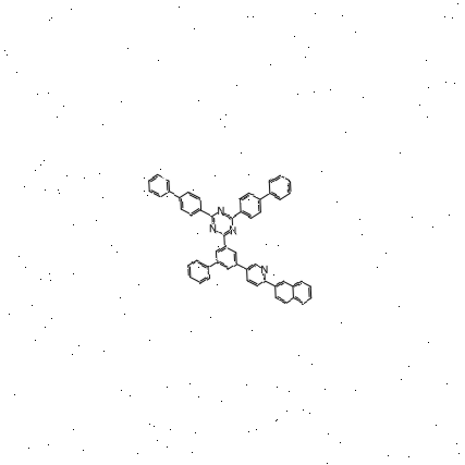 c1ccc(-c2ccc(-c3nc(-c4ccc(-c5ccccc5)cc4)nc(-c4cc(-c5ccccc5)cc(-c5ccc(-c6ccc7ccccc7c6)nc5)c4)n3)cc2)cc1